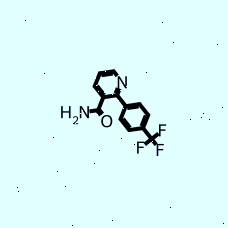 NC(=O)c1cccnc1-c1ccc(C(F)(F)F)cc1